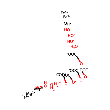 O.O.O.O=C([O-])[O-].O=C([O-])[O-].O=C([O-])[O-].O=C([O-])[O-].O=C([O-])[O-].[Fe+3].[Fe+3].[Fe+3].[Mg+2].[Mg+2].[Mg+2].[OH-].[OH-].[OH-].[OH-].[OH-]